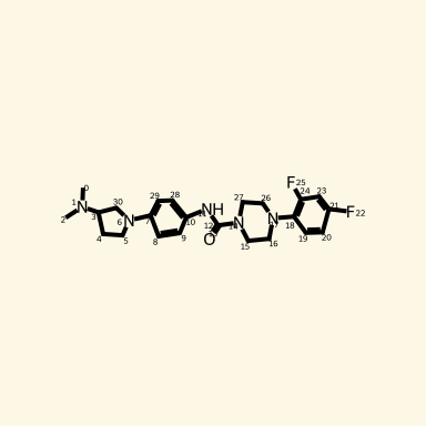 CN(C)C1CCN(c2ccc(NC(=O)N3CCN(c4ccc(F)cc4F)CC3)cc2)C1